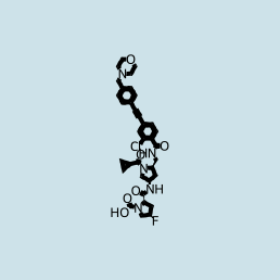 O=C(NC[C@H]1C[C@@H](NC(=O)[C@@H]2C[C@H](F)CN2C(=O)O)CN1C(=O)C1CC1)c1ccc(C#Cc2ccc(CN3CCOCC3)cc2)cc1Cl